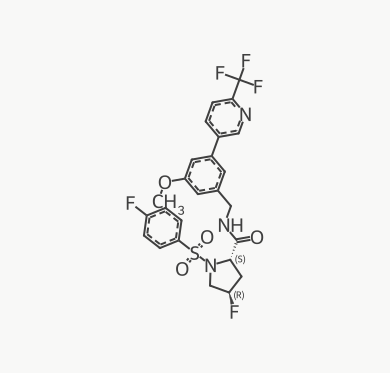 COc1cc(CNC(=O)[C@@H]2C[C@@H](F)CN2S(=O)(=O)c2ccc(F)cc2)cc(-c2ccc(C(F)(F)F)nc2)c1